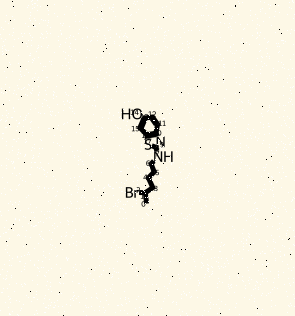 CC(Br)CCCCNc1nc2ccc(O)cc2s1